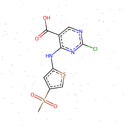 CS(=O)(=O)c1csc(Nc2nc(Cl)ncc2C(=O)O)c1